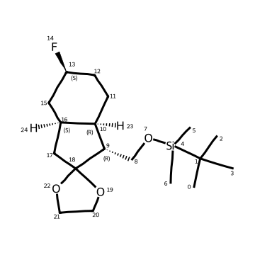 CC(C)(C)[Si](C)(C)OC[C@H]1[C@@H]2CC[C@H](F)C[C@@H]2CC12OCCO2